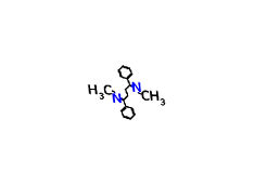 CCN=C(CCC(=NCC)c1ccccc1)c1ccccc1